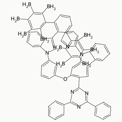 Bc1c(B)c(B)c(-c2cccc(-c3c(B)c(B)c(B)c(B)c3B)c2-c2cn(-c3cccc(Oc4cc5c(cc4-c4nc(-c6ccccc6)nc(-c6ccccc6)n4)c4ccccc4n5-c4ccccn4)c3)c3ccccc23)c(B)c1B